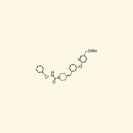 COCc1ccc(Oc2cccc(C=C3CCN(C(=O)N[C@@H]4C[C@H]4c4ccccc4)CC3)c2)nc1